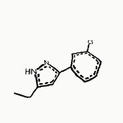 CCc1cc(-c2cccc(Cl)c2)n[nH]1